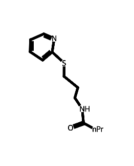 CCCC(=O)NCCCSc1ccccn1